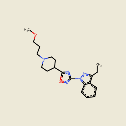 CCc1nn(-c2noc(C3CCN(CCCOC)CC3)n2)c2ccccc12